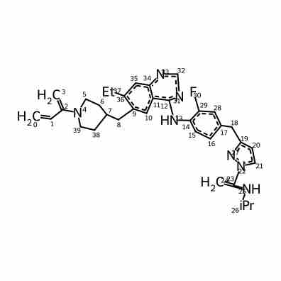 C=CC(=C)N1CCC(Cc2cc3c(Nc4ccc(Cc5ccn(C(=C)NC(C)C)n5)cc4F)ncnc3cc2CC)CC1